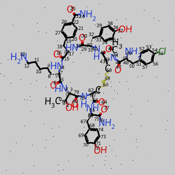 C[C@@H](O)[C@@H]1NC(=O)[C@H](CCCCCN)NC(=O)[C@@H](Cc2ccc(C(N)=O)cc2)NC(=O)[C@H](Cc2ccc(O)cc2)NC(=O)[C@H](N(C)C(=O)[C@@H](N)Cc2ccc(Cl)cc2)CSSC[C@@H](C(=O)N[C@H](Cc2ccc(O)cc2)C(N)=O)NC1=O